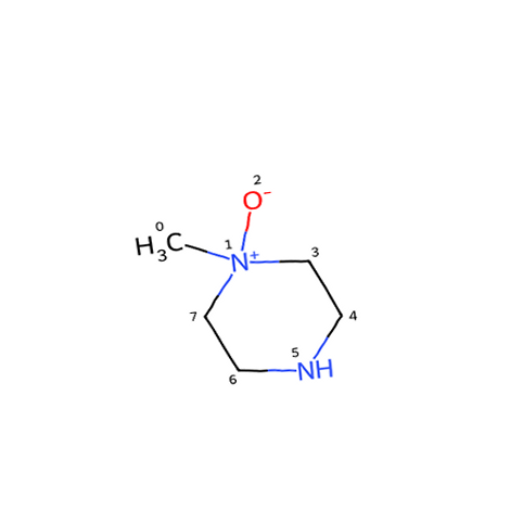 C[N+]1([O-])CCNCC1